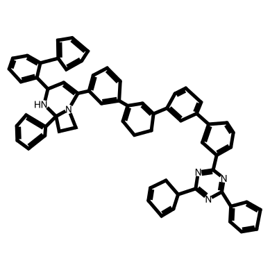 C1=CCC(c2nc(-c3ccccc3)nc(-c3cccc(-c4cccc(C5=CC(c6cccc(C7=CC(c8ccccc8-c8ccccc8)NC8(c9ccccc9)CCN78)c6)=CCC5)c4)c3)n2)C=C1